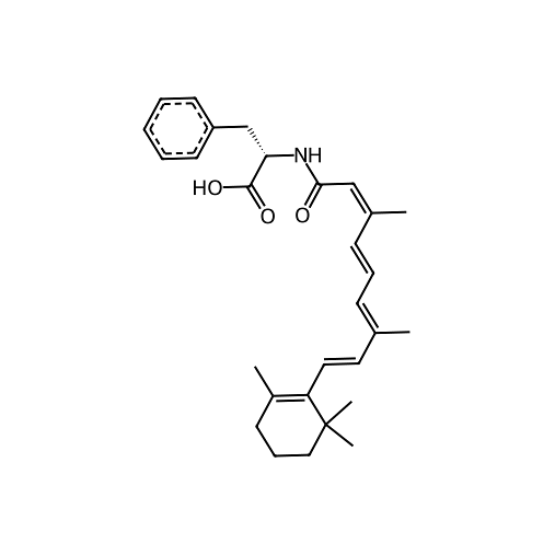 CC(C=CC1=C(C)CCCC1(C)C)=CC=C/C(C)=C\C(=O)N[C@@H](Cc1ccccc1)C(=O)O